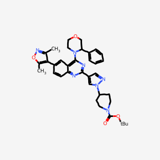 Cc1noc(C)c1-c1ccc2nc(-c3cnn(C4CCN(C(=O)OC(C)(C)C)CC4)c3)nc(N3CCOCC3c3ccccc3)c2c1